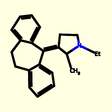 CCN1CCC(=C2c3ccccc3CCc3ccccc32)C1C